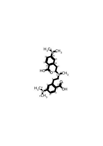 CN(CCc1cc(N(C)C)ccc1C(=O)O)CCc1cc(N(C)C)ccc1C(=O)O